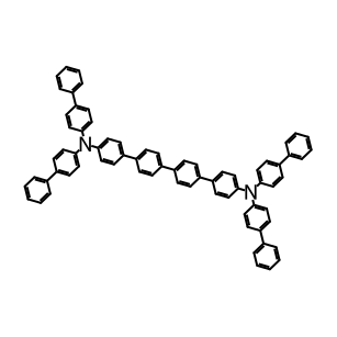 c1ccc(-c2ccc(N(c3ccc(-c4ccccc4)cc3)c3ccc(-c4ccc(-c5ccc(-c6ccc(N(c7ccc(-c8ccccc8)cc7)c7ccc(-c8ccccc8)cc7)cc6)cc5)cc4)cc3)cc2)cc1